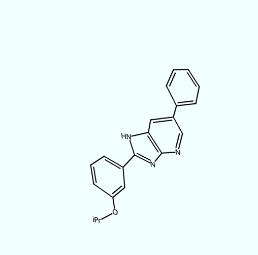 CC(C)Oc1cccc(-c2nc3ncc(-c4ccccc4)cc3[nH]2)c1